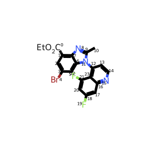 CCOC(=O)c1cc(Br)cc2c1nc(C)n2-c1ccnc2cc(F)cc(F)c12